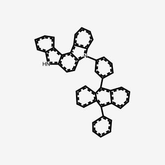 c1ccc(-c2c3ccccc3c(-c3cccc(-n4c5ccccc5c5c6c(ccc54)[nH]c4ccccc46)c3)c3ccccc23)cc1